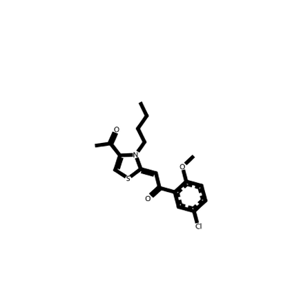 CCCCN1C(C(C)=O)=CS/C1=C\C(=O)c1cc(Cl)ccc1OC